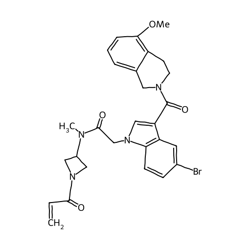 C=CC(=O)N1CC(N(C)C(=O)Cn2cc(C(=O)N3CCc4c(cccc4OC)C3)c3cc(Br)ccc32)C1